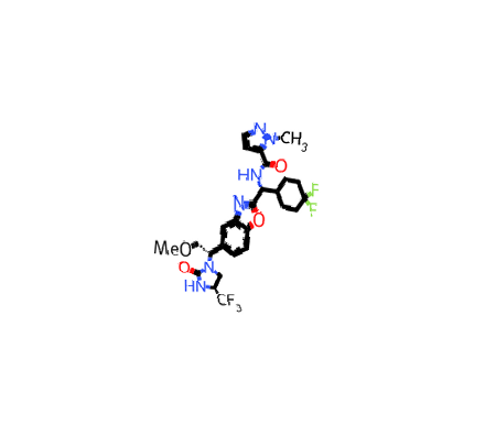 COC[C@H](c1ccc2oc([C@@H](NC(=O)c3ccnn3C)C3CCC(F)(F)CC3)nc2c1)N1C[C@@H](C(F)(F)F)NC1=O